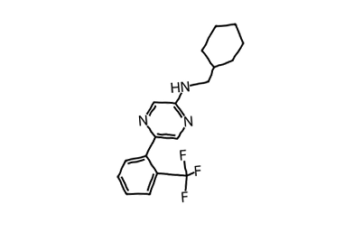 FC(F)(F)c1ccccc1-c1cnc(NCC2CCCCC2)cn1